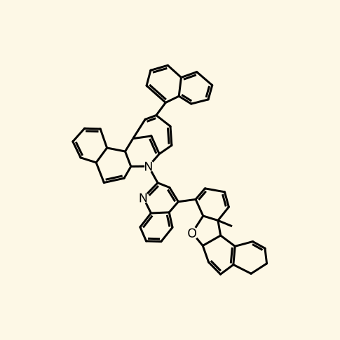 CC12C=CC=C(c3cc(N4C5=CC(C=C(c6cccc7ccccc67)C=C5)C5C6C=CC=CC6C=CC54)nc4ccccc34)C1OC1C=CC3=C(C=CCC3)C12